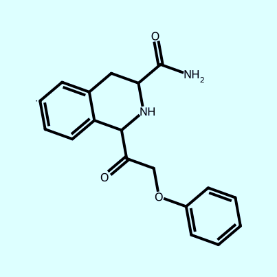 NC(=O)C1Cc2c[c]ccc2C(C(=O)COc2ccccc2)N1